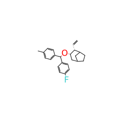 C=C[C@@H]1C2CCC(C2)C[C@@H]1OC(c1ccc(C)cc1)c1ccc(F)cc1